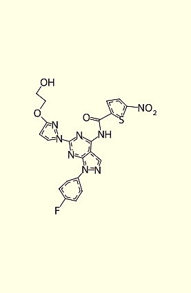 O=C(Nc1nc(-n2ccc(OCCO)n2)nc2c1cnn2-c1ccc(F)cc1)c1ccc([N+](=O)[O-])s1